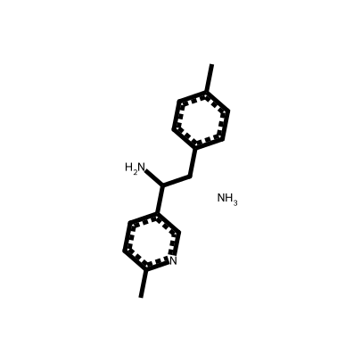 Cc1ccc(CC(N)c2ccc(C)nc2)cc1.N